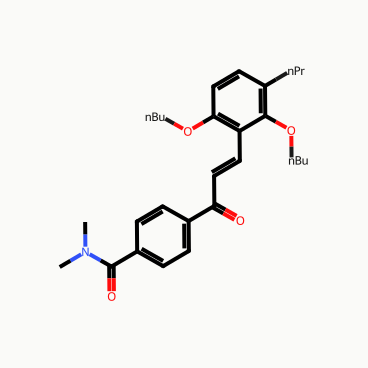 CCCCOc1ccc(CCC)c(OCCCC)c1C=CC(=O)c1ccc(C(=O)N(C)C)cc1